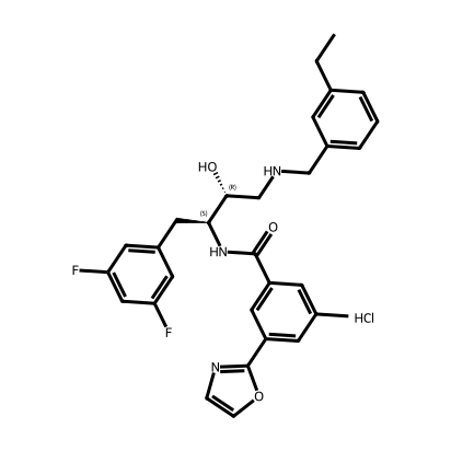 CCc1cccc(CNC[C@@H](O)[C@H](Cc2cc(F)cc(F)c2)NC(=O)c2cc(C)cc(-c3ncco3)c2)c1.Cl